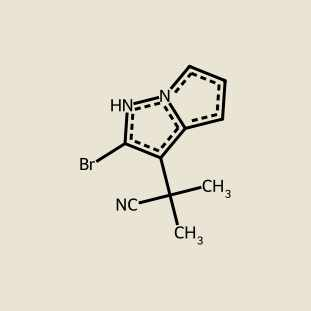 CC(C)(C#N)c1c(Br)[nH]n2cccc12